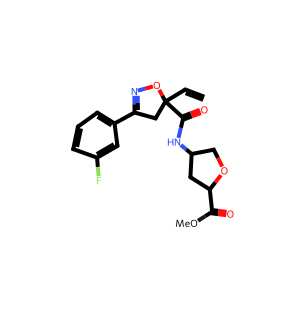 C=CC1(C(=O)NC2COC(C(=O)OC)C2)CC(c2cccc(F)c2)=NO1